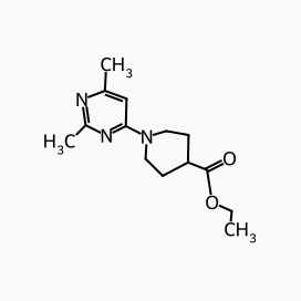 CCOC(=O)C1CCN(c2cc(C)nc(C)n2)CC1